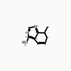 CC1CC=Cc2c1ncnc2C(C)(C)C